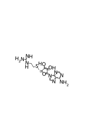 N=C(N)NCCSC[C@H]1O[C@@H](n2cnc3c(N)ncnc32)[C@H](O)[C@@H]1O